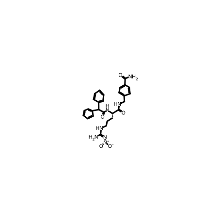 NC(=O)c1ccc(CNC(=O)[C@H](CCCNC(N)=N[N+](=O)[O-])NC(=O)C(c2ccccc2)c2ccccc2)cc1